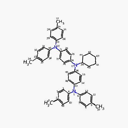 Cc1ccc(N(c2ccc(C)cc2)c2ccc(N(c3ccc(N(c4ccc(C)cc4)c4ccc(C)cc4)cc3)C3CCCCC3)cc2)cc1